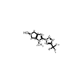 Cn1c(-n2nnc(C(F)(F)F)n2)nc2c1CN(O)C2